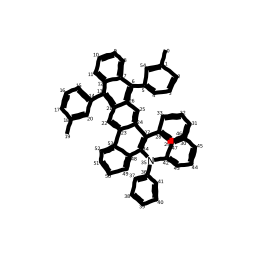 Cc1cccc(-c2c3ccccc3c(-c3cccc(C)c3)c3cc4c(cc23)c(-c2ccccc2)c(N(c2ccccc2)c2ccccc2)c2ccccc24)c1